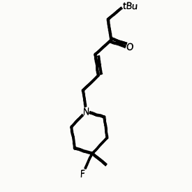 CC(C)(C)CC(=O)/C=C/CN1CCC(C)(F)CC1